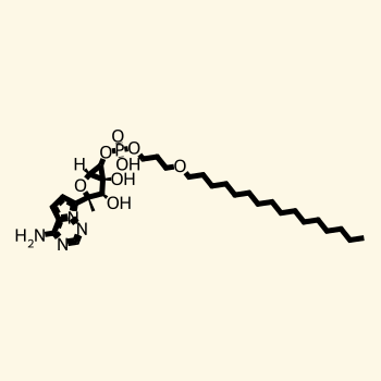 CCCCCCCCCCCCCCCCOCCCOP(=O)(O)OC1[C@H]2O[C@@](C)(c3ccc4c(N)ncnn34)[C@H](O)[C@@]12O